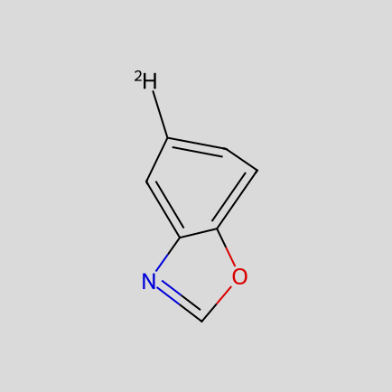 [2H]c1ccc2ocnc2c1